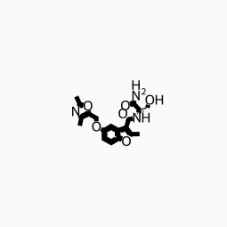 Cc1nc(C)c(COc2ccc3oc(C)c(C(=O)N[C@@H](CO)C(N)=O)c3c2)o1